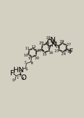 CC(F)C(=O)NCCCc1cccc(-c2ccc3c(cnn3-c3ccc(F)cc3)c2)c1